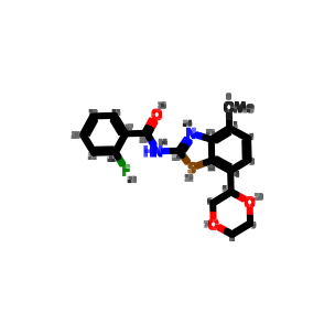 COc1ccc(C2COCCO2)c2sc(NC(=O)c3ccccc3F)nc12